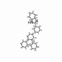 c1cc(-c2ccc3c4ccccc4c4ccccc4c3c2)cc(-c2nc3ccccc3[nH]2)c1